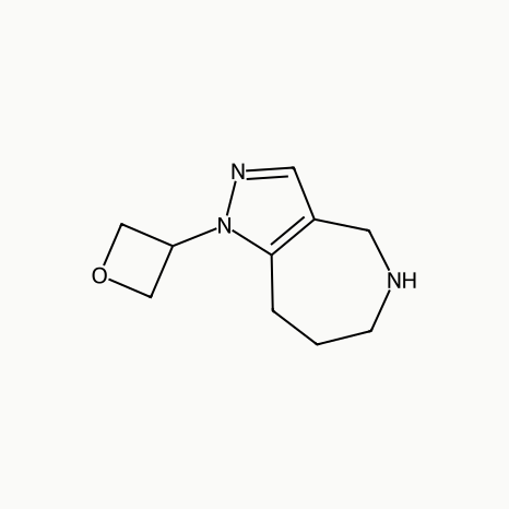 c1nn(C2COC2)c2c1CNCCC2